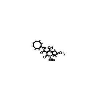 CCCCn1c(=O)c(C(=O)NC2CCCCCCC2)c(O)c2nn(C)cc21